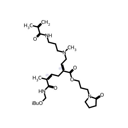 C=C(C)C(=O)NCCCN(C)C/C=C(/C/C=C(/C)C(=O)NCOCC(C)C)C(=O)OCCCN1CCCC1=O